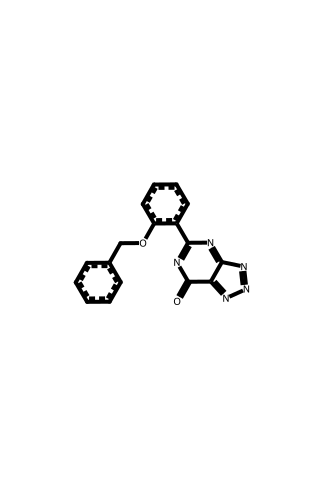 O=C1N=C(c2ccccc2OCc2ccccc2)N=C2N=NN=C12